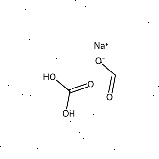 O=C(O)O.O=C[O-].[Na+]